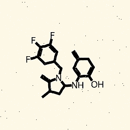 C=C1C=C(NC2CC(C)C(=C)N2CC2C=C(F)C(F)=C(F)C2)C(O)=CC1